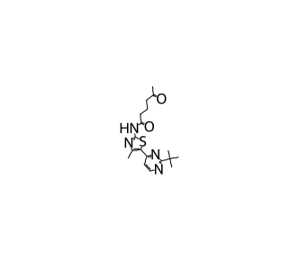 CC(=O)CCCC(=O)Nc1nc(C)c(-c2ccnc(C(C)(C)C)n2)s1